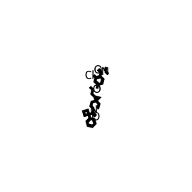 CC(CC1CC12CCN(C(=O)C1(c3ccccc3)CCC1)CC2)Oc1ccc(C(=O)N(C)C)c(Cl)c1